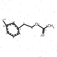 CC(=O)OCCc1cccc(I)c1